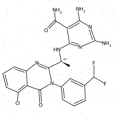 C[C@H](Nc1nc(N)nc(N)c1C(N)=O)c1nc2cccc(Cl)c2c(=O)n1-c1cccc(C(F)F)c1